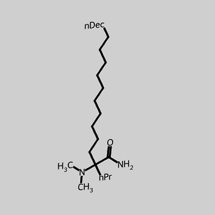 CCCCCCCCCCCCCCCCCCCCC(CCC)(C(N)=O)N(C)C